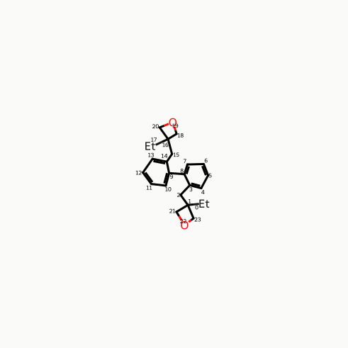 CCC1(Cc2ccccc2-c2ccccc2CC2(CC)COC2)COC1